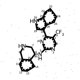 FC(F)(F)c1cnc(N[C@H]2CNCc3ccccc32)nc1-c1c[nH]c2ccccc12